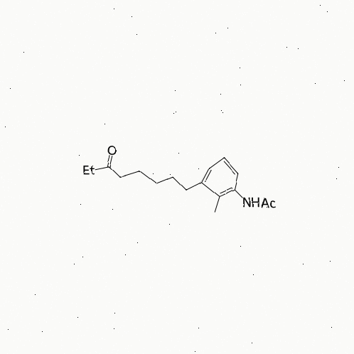 CCC(=O)CCCCCc1cccc(NC(C)=O)c1C